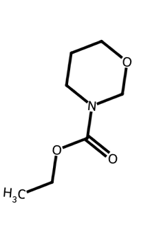 CCOC(=O)N1CCCOC1